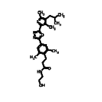 Cc1cc(-c2nnc(-c3sc(C)c(CC(C)C)c3C)o2)cc(C)c1CCC(=O)NCCO